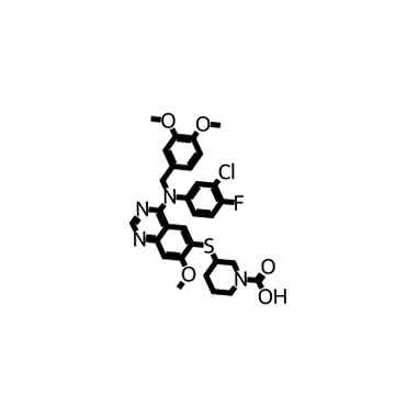 COc1ccc(CN(c2ccc(F)c(Cl)c2)c2ncnc3cc(OC)c(SC4CCCN(C(=O)O)C4)cc23)cc1OC